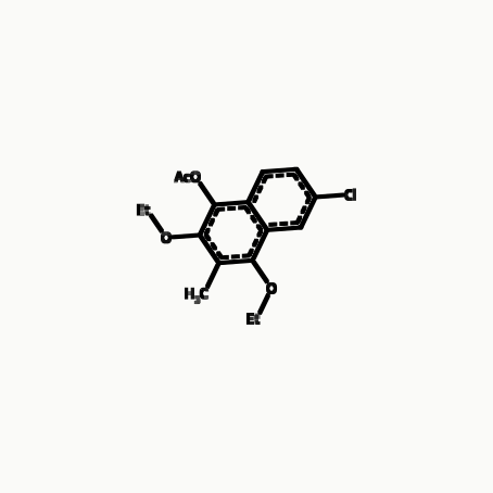 CCOc1c(C)c(OCC)c2cc(Cl)ccc2c1OC(C)=O